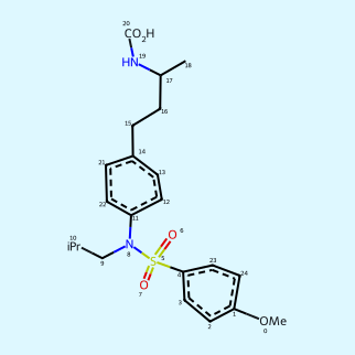 COc1ccc(S(=O)(=O)N(CC(C)C)c2ccc(CCC(C)NC(=O)O)cc2)cc1